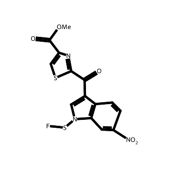 COC(=O)c1csc(C(=O)c2cn(SF)c3cc([N+](=O)[O-])ccc23)n1